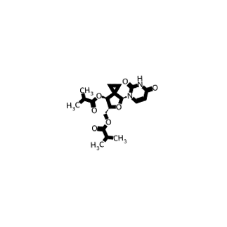 CC(C)C(=O)OC[C@H]1O[C@@H](n2ccc(=O)[nH]c2=O)C2(CC2)[C@@H]1OC(=O)C(C)C